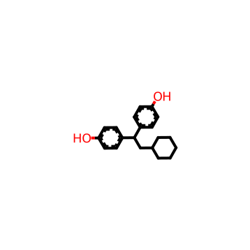 Oc1ccc(C(CC2CCCCC2)c2ccc(O)cc2)cc1